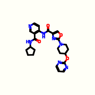 O=C(Nc1ccncc1C(=O)NC1CCCC1)c1coc(N2CCC(Oc3ncccn3)CC2)n1